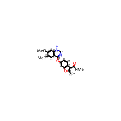 CNC(=O)c1c(C(C)C)oc2cc(OC3=NCNc4cc(OC)c(OC)cc43)ccc12